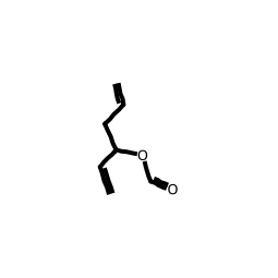 C=CC[C](C=C)OC=O